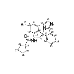 O=C(NCCC1(c2ccc(Br)cc2)c2ccccc2-c2nccn21)C1CCCC1